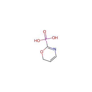 O=P(O)(O)C1=NC=CCO1